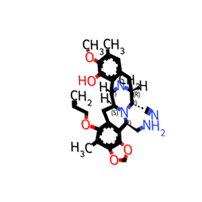 C=CCOc1c(C)c2c(c3c1C[C@H]1[C@H]4c5c(cc(C)c(OC)c5O)C[C@H]([C@H](C#N)N1[C@H]3CN)N4C)OCO2